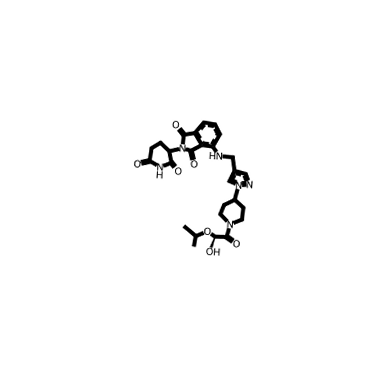 CC(C)O[C@H](O)C(=O)N1CCC(n2cc(CNc3cccc4c3C(=O)N(C3CCC(=O)NC3=O)C4=O)cn2)CC1